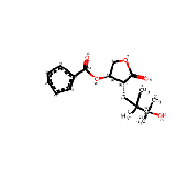 CC(C)(C[C@H]1C(=O)OC[C@@H]1OC(=O)c1ccccc1)[Si](C)(C)O